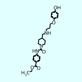 CCOC(=O)c1ccc(NC(=O)N2CCC(CNCCCOc3ccc(O)cc3)CC2)cc1